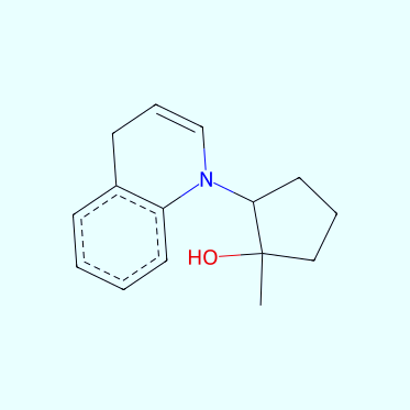 CC1(O)CCCC1N1C=CCc2ccccc21